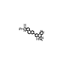 Cc1nc2c3cnncc3c3cc(-c4ccc5c(ccc6c5ccc5[nH]c(C(C)C)nc56)c4)ccc3c2[nH]1